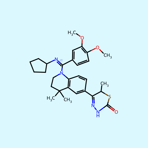 COc1ccc(/C(=N/C2CCCC2)N2CCC(C)(C)c3cc(C4=NNC(=O)SC4C)ccc32)cc1OC